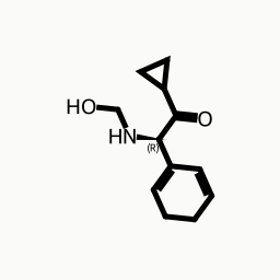 O=C(C1CC1)[C@H](NCO)C1=CCCC=C1